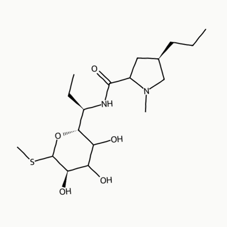 CCC[C@@H]1CC(C(=O)N[C@H](CC)[C@H]2OC(SC)[C@H](O)C(O)C2O)N(C)C1